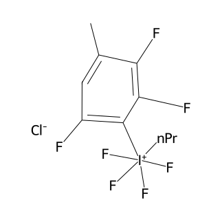 CCC[I+](F)(F)(F)(F)c1c(F)cc(C)c(F)c1F.[Cl-]